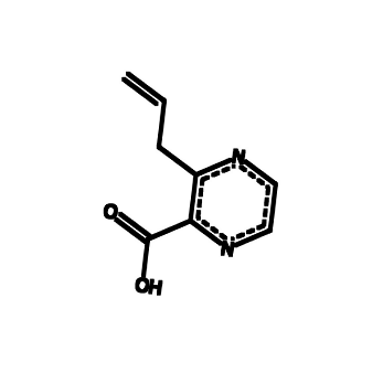 C=CCc1nccnc1C(=O)O